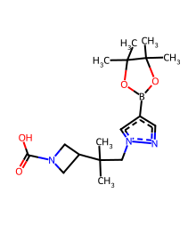 CC(C)(Cn1cc(B2OC(C)(C)C(C)(C)O2)cn1)C1CN(C(=O)O)C1